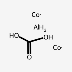 O=C(O)O.[AlH3].[Co].[Co]